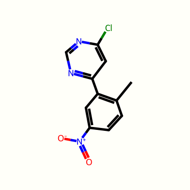 Cc1ccc([N+](=O)[O-])cc1-c1cc(Cl)ncn1